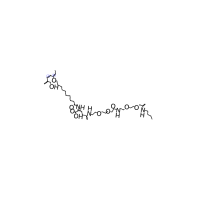 C=C(/C=C\C(=C/C)OCCCCCCCCCC(=O)N[C@@H](CCC(=C)NCCOCCOCC(=O)NCCOCCOCC(=C)NCCCC)C(=O)O)CO